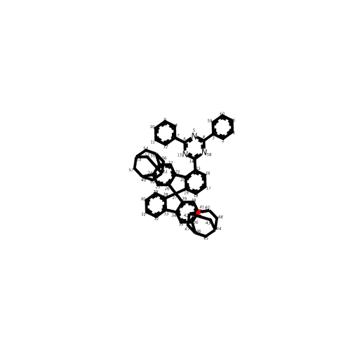 c1ccc(-c2nc(-c3ccccc3)nc(-c3cccc4c3-c3cc5c(cc3C43c4ccccc4-c4cc6c(cc43)C3CC4CC(CC6C4)C3)C3CC4CC(CC5C4)C3)n2)cc1